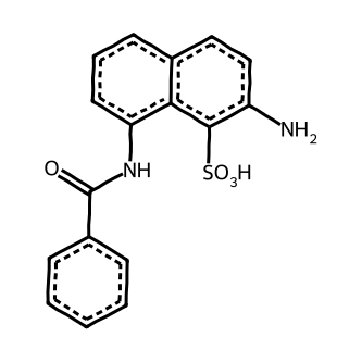 Nc1ccc2cccc(NC(=O)c3ccccc3)c2c1S(=O)(=O)O